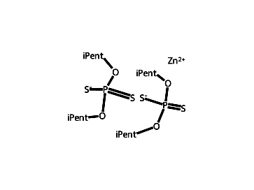 CCCC(C)OP(=S)([S-])OC(C)CCC.CCCC(C)OP(=S)([S-])OC(C)CCC.[Zn+2]